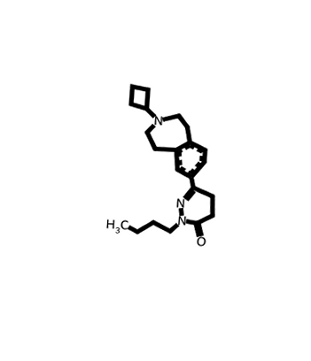 CCCCN1N=C(c2ccc3c(c2)CCN(C2CCC2)CC3)CCC1=O